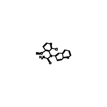 COc1ccnc(Cl)c1N(C(N)=O)c1ccc2ncccc2c1